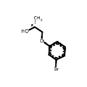 C[C@@H](O)COc1cccc(Br)c1